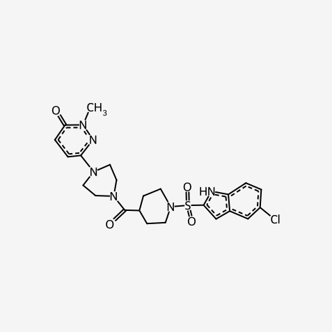 Cn1nc(N2CCN(C(=O)C3CCN(S(=O)(=O)c4cc5cc(Cl)ccc5[nH]4)CC3)CC2)ccc1=O